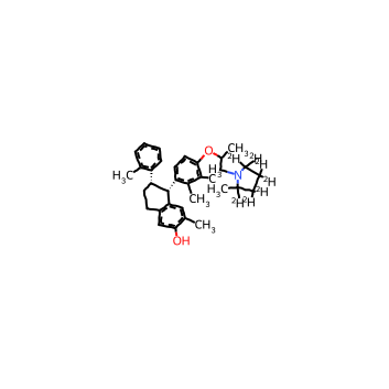 [2H]C1([2H])N(CC(C)Oc2ccc([C@@H]3c4cc(C)c(O)cc4CC[C@@H]3c3ccccc3C)c(C)c2C)C([2H])(C)C([2H])([2H])C1([2H])[2H]